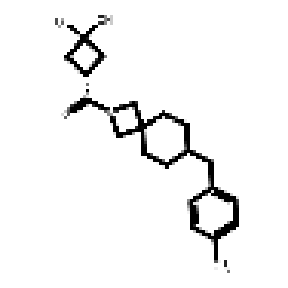 Cc1ccc(CC2CCC3(CC2)CN(C(=O)[C@H]2C[C@@](C)(O)C2)C3)cc1